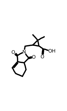 CC1(C)C(CN2C(=O)C3=CCCCC3C2=O)C1C(=O)O